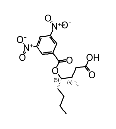 CCCC[C@H](OC(=O)c1cc([N+](=O)[O-])cc([N+](=O)[O-])c1)[C@@H](C)CC(=O)O